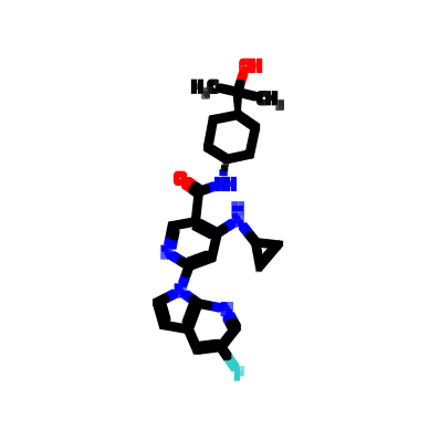 CC(C)(O)[C@H]1CC[C@H](NC(=O)c2cnc(-n3ccc4cc(F)cnc43)cc2NC2CC2)CC1